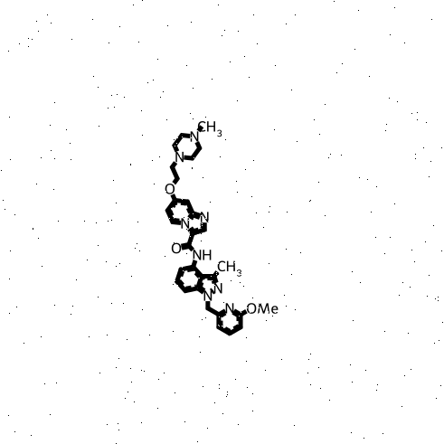 COc1cccc(Cn2nc(C)c3c(NC(=O)c4cnc5cc(OCCN6CCN(C)CC6)ccn45)cccc32)n1